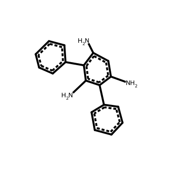 Nc1cc(N)c(-c2ccccc2)c(N)c1-c1ccccc1